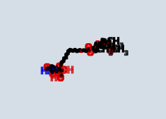 CC(=O)CCC(C)C1CCC2C3CC=C4CC(OC(=O)CCCCCCC/C=C\CCCCCCCO[C@H]5C(O)[C@@H](CO)O[C@H]5n5ccc(=O)[nH]c5=O)CCC4(C)C3CCC12C